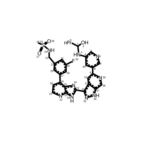 CCCC(O)Nc1cncc(-c2cc3c(-c4nc5c(-c6cc(F)cc(CNS(C)(=O)=O)c6)ccnc5[nH]4)n[nH]c3cn2)c1